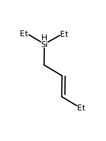 CCC=CC[SiH](CC)CC